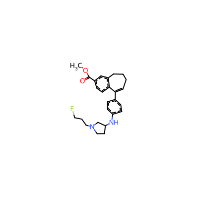 COC(=O)c1ccc2c(c1)CCCC=C2c1ccc(NC2CCN(CCCF)C2)cc1